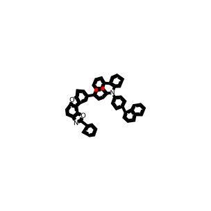 c1ccc(-c2nc3ccc4oc5ccc(-c6ccc(N(c7ccc(-c8cccc9ccccc89)cc7)c7ccccc7-c7ccccc7)cc6)cc5c4c3o2)cc1